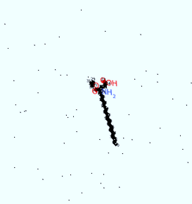 CCC=CCC=CCC=CCCCCCCCCC(N)(CCC(=O)O)C(=O)OC(C)(C)C